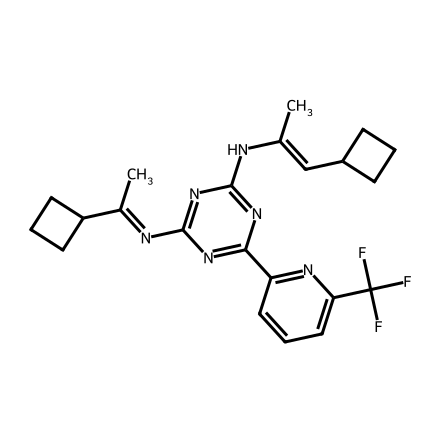 CC(=CC1CCC1)Nc1nc(/N=C(\C)C2CCC2)nc(-c2cccc(C(F)(F)F)n2)n1